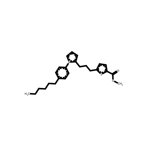 CCCCCCc1ccc(-n2cccc2CCCc2ccc(C(=O)OC)s2)cc1